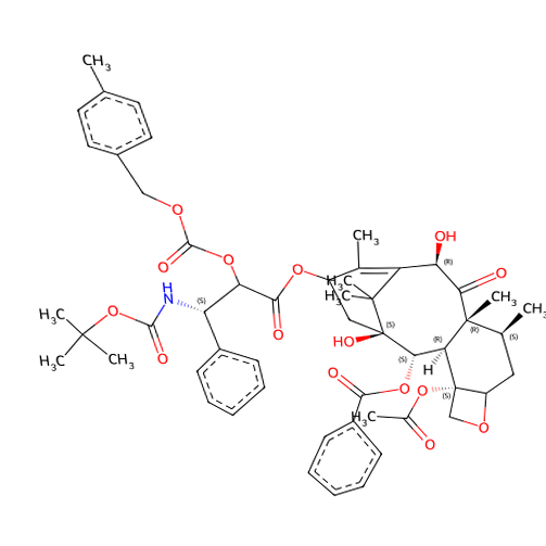 CC(=O)O[C@@]12COC1C[C@H](C)[C@@]1(C)C(=O)[C@H](O)C3=C(C)C(OC(=O)C(OC(=O)OCc4ccc(C)cc4)[C@@H](NC(=O)OC(C)(C)C)c4ccccc4)C[C@@](O)([C@@H](OC(=O)c4ccccc4)[C@@H]12)C3(C)C